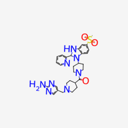 CS(=O)(=O)c1ccc2c(c1)NC(c1ccccn1)N2C1CCN(C(=O)C2CCN(Cc3cnc(N)nc3)CC2)CC1